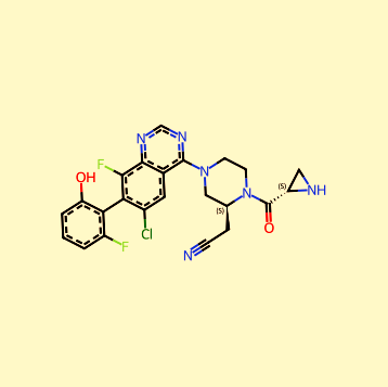 N#CC[C@H]1CN(c2ncnc3c(F)c(-c4c(O)cccc4F)c(Cl)cc23)CCN1C(=O)[C@@H]1CN1